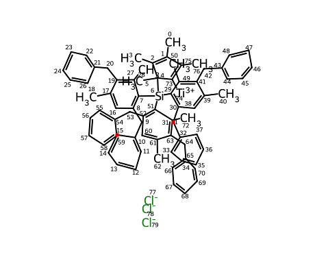 CC1=C(C)C(C)([Si](c2c(Cc3ccccc3)cc(C)c(Cc3ccccc3)c2C)(c2c(Cc3ccccc3)cc(C)c(Cc3ccccc3)c2C)c2c(Cc3ccccc3)cc(C)c(Cc3ccccc3)c2C)[C]([Ti+3])=C1C.[Cl-].[Cl-].[Cl-]